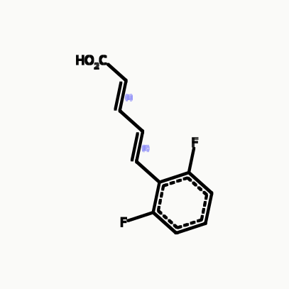 O=C(O)/C=C/C=C/c1c(F)cccc1F